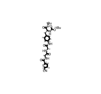 CC(C)(C)OC(=O)N[C@@H](Cc1ccc(NC(=O)CNC(=O)CNC(=O)c2ccc(C#N)s2)cc1)C(=O)OC(C)(C)C